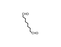 O=[C]CCCCCCC[C]=O